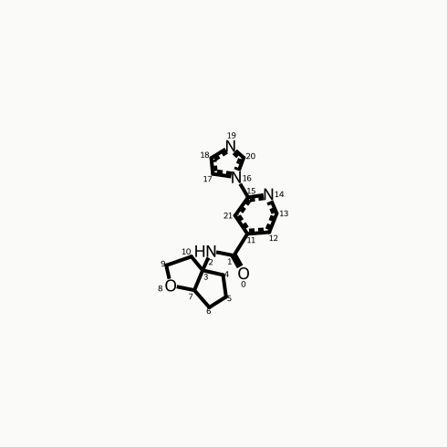 O=C(NC12CCCC1OCC2)c1ccnc(-n2ccnc2)c1